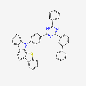 c1ccc(-c2cccc(-c3nc(-c4ccccc4)nc(-c4ccc(-n5c6ccccc6c6ccc7c8ccccc8sc7c65)cc4)n3)c2)cc1